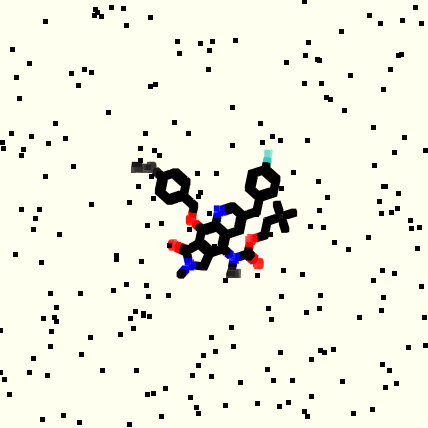 COc1ccc(COc2c3c(c(N(C(C)=O)C(=O)OCC[Si](C)(C)C)c4cc(Cc5ccc(F)cc5)cnc24)CN(C)C3=O)cc1